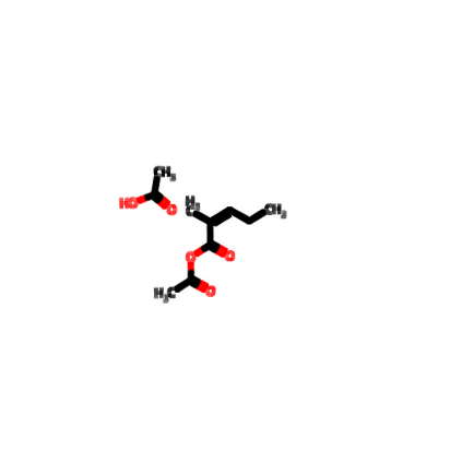 CC(=O)O.CCC=C(C)C(=O)OC(C)=O